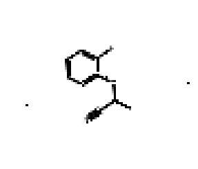 CC(C#N)Oc1ccccc1F